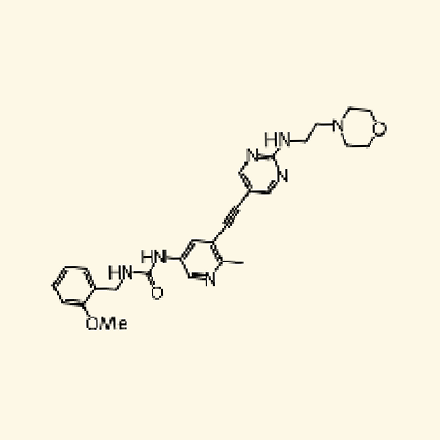 COc1ccccc1CNC(=O)Nc1cnc(C)c(C#Cc2cnc(NCCN3CCOCC3)nc2)c1